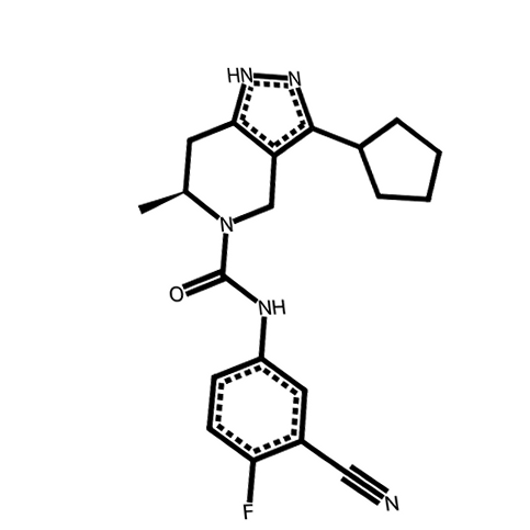 C[C@H]1Cc2[nH]nc(C3CCCC3)c2CN1C(=O)Nc1ccc(F)c(C#N)c1